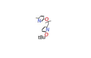 Cc1ccc(OC(C)(C)Cc2cccc(OC(C)(C)C)n2)cn1